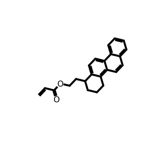 C=CC(=O)OCCC1CCCc2c1ccc1c2ccc2ccccc21